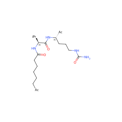 CC(=O)CCCCCC(=O)N[C@H](C(=O)N[C@@H](CCCNC(N)=O)C(C)=O)C(C)C